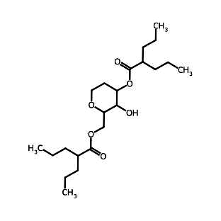 CCCC(CCC)C(=O)OCC1OCCC(OC(=O)C(CCC)CCC)C1O